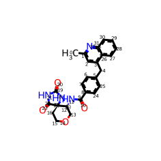 Cc1cc(Cc2ccc(C(=O)N[C@@H]3COCC[C@@]34NC(=O)NC4=O)cc2)c2ccccc2n1